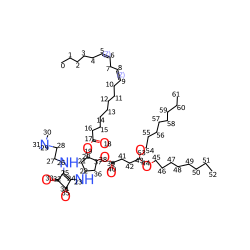 CCCCC/C=C\C/C=C\CCCCCCCC(=O)OC1CC(Nc2c(NCCN(C)C)c(=O)c2=O)CC1OC(=O)CCC(OCCCCCCCC)OCCCCCCCC